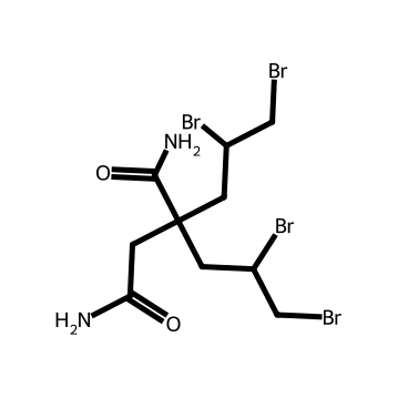 NC(=O)CC(CC(Br)CBr)(CC(Br)CBr)C(N)=O